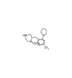 O=C(O)N1CCNCC1Cc1ccc(C(F)(F)F)cc1N1CCCC1